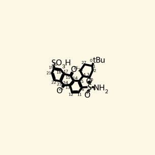 CC(C)(C)C1CCC(c2c(S(N)(=O)=O)ccc3c2C(=O)c2cc(S(=O)(=O)O)ccc2C3=O)CC1